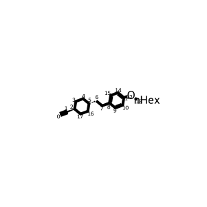 C#C[C@H]1CC[C@H](CCc2ccc(OCCCCCC)cc2)CC1